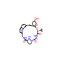 C[C@@H]1NC(=O)[C@H](C2CC2)OC(=O)C2(/C=C/c3ccc4ccc(nc4c3)[C@@H](C)NC(=O)[C@@H]3CCCN(N3)C1=O)CCC(O)CC2